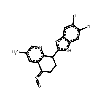 Cc1cnc2c(c1)C(=S=O)CCC2c1nc2cc(Cl)c(Cl)cc2[nH]1